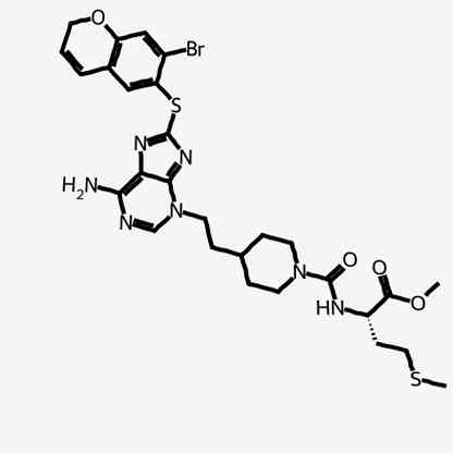 COC(=O)[C@H](CCSC)NC(=O)N1CCC(CCn2cnc(N)c3nc(Sc4cc5c(cc4Br)OCC=C5)nc2-3)CC1